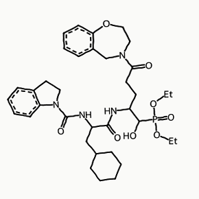 CCOP(=O)(OCC)C(O)C(CCC(=O)N1CCOc2ccccc2C1)NC(=O)C(CC1CCCCC1)NC(=O)N1CCc2ccccc21